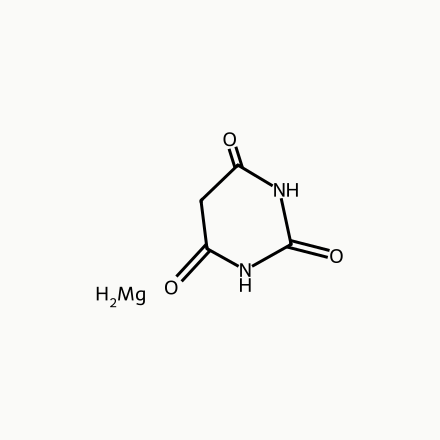 O=C1CC(=O)NC(=O)N1.[MgH2]